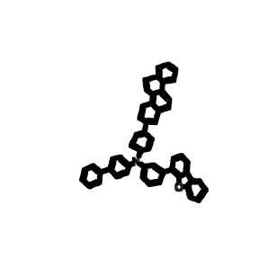 c1ccc(-c2ccc(N(c3ccc(-c4ccc5c(ccc6c7ccccc7ccc56)c4)cc3)c3cccc(-c4cccc5c4oc4ccccc45)c3)cc2)cc1